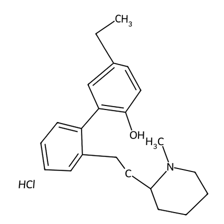 CCc1ccc(O)c(-c2ccccc2CCC2CCCCN2C)c1.Cl